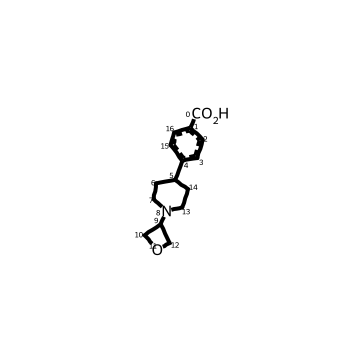 O=C(O)c1ccc(C2CCN(C3COC3)CC2)cc1